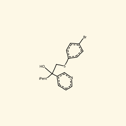 CCCC(C)C(O)(CSc1ccc(Br)cc1)c1cccnc1